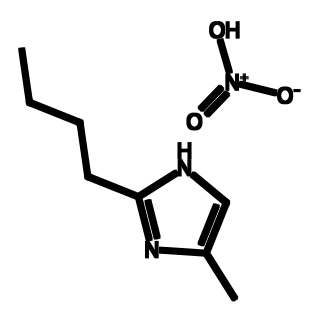 CCCCc1nc(C)c[nH]1.O=[N+]([O-])O